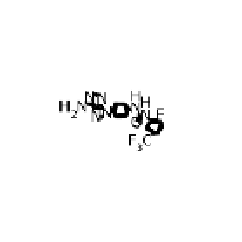 Nc1ncnc2c1ncn2-c1ccc(NC(=O)Nc2cc(C(F)(F)F)ccc2F)cc1